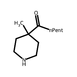 CCCCCC(=O)C1(C)CCNCC1